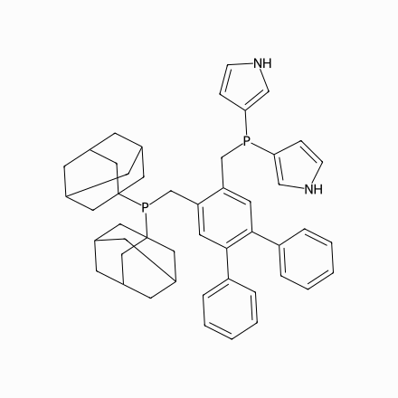 c1ccc(-c2cc(CP(c3cc[nH]c3)c3cc[nH]c3)c(CP(C34CC5CC(CC(C5)C3)C4)C34CC5CC(CC(C5)C3)C4)cc2-c2ccccc2)cc1